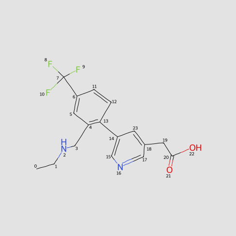 CCNCc1cc(C(F)(F)F)ccc1-c1cncc(CC(=O)O)c1